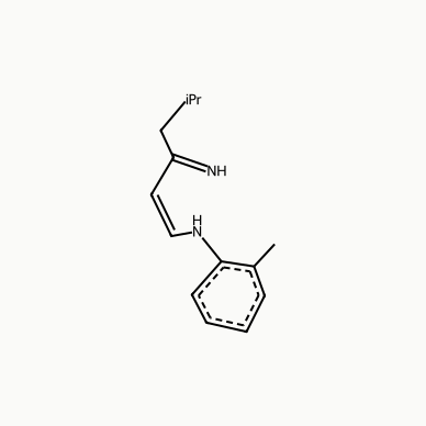 Cc1ccccc1N/C=C\C(=N)CC(C)C